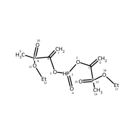 C=C(O[PH](=O)OC(=C)P(C)(=O)OCC)P(C)(=O)OCC